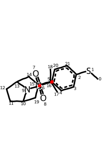 CSc1ccc(S(=O)(=O)N2C3CCC2CN(C(C)C)C3)cc1